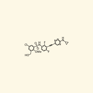 COc1c(CO)cc(Cl)cc1S(=O)(=O)Nc1ccc(F)c(C#Cc2cnc(NC3CC3)nn2)c1F